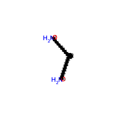 NC(=O)CCCCCCCCCCCCCCCc1ccccc1CCCCCCCCCCCCCCCC(N)=O